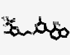 Nc1c(-c2cc(F)nc(OCCn3cc(F)c(S(N)(=O)=O)n3)c2)ccc2c1CCC2